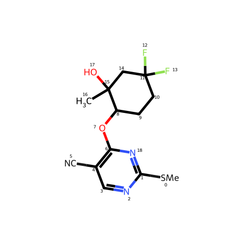 CSc1ncc(C#N)c(OC2CCC(F)(F)CC2(C)O)n1